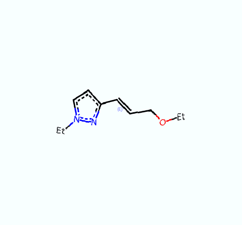 CCOC/C=C/c1ccn(CC)n1